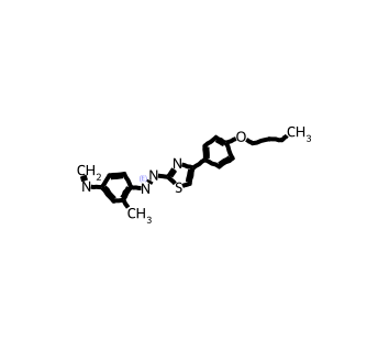 C=Nc1ccc(/N=N/c2nc(-c3ccc(OCCCC)cc3)cs2)c(C)c1